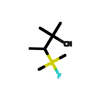 CC(C(C)(C)C#N)S(C)(C)F